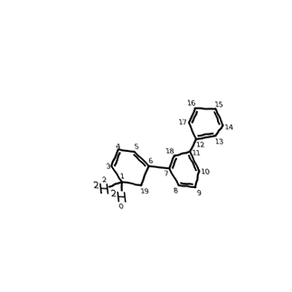 [2H]C1([2H])C=CC=C(c2cccc(-c3ccccc3)c2)C1